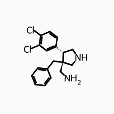 NC[C@]1(Cc2ccccc2)CNC[C@H]1c1ccc(Cl)c(Cl)c1